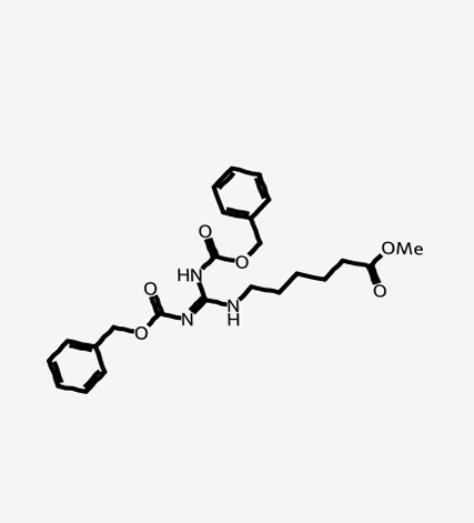 COC(=O)CCCCCNC(=NC(=O)OCc1ccccc1)NC(=O)OCc1ccccc1